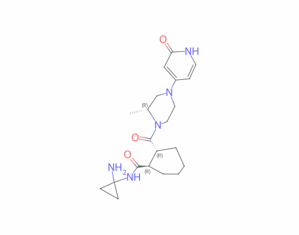 C[C@@H]1CN(c2cc[nH]c(=O)c2)CCN1C(=O)[C@@H]1CCCC[C@H]1C(=O)NC1(N)CC1